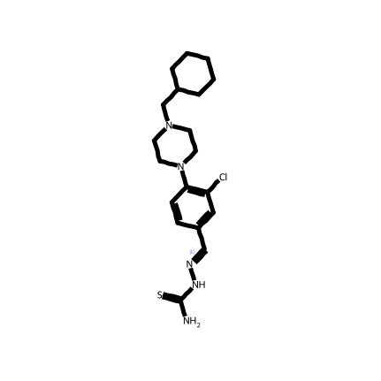 NC(=S)N/N=C/c1ccc(N2CCN(CC3CCCCC3)CC2)c(Cl)c1